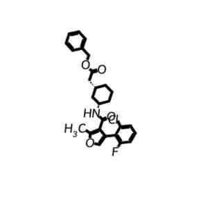 Cc1occ(-c2c(F)cccc2Cl)c1C(=O)N[C@H]1CCC[C@@H](CC(=O)OCc2ccccc2)C1